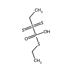 CCSP(=O)(O)S(=S)(=S)CC